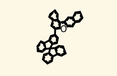 c1ccc2c(c1)-c1ccccc1C21c2ccccc2-c2cc(-c3cc4ccccc4c4c3oc3cc5ccccc5cc34)ccc21